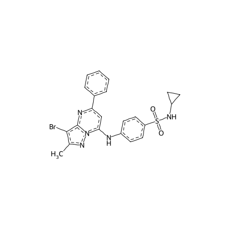 Cc1nn2c(Nc3ccc(S(=O)(=O)NC4CC4)cc3)cc(-c3ccccc3)nc2c1Br